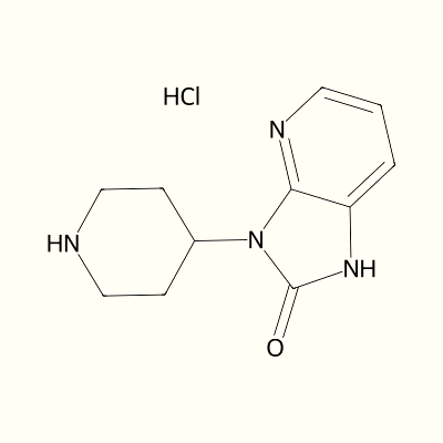 Cl.O=c1[nH]c2cccnc2n1C1CCNCC1